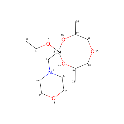 CCO[Si]1(CN2CCOCC2)OC(C)COCC(C)O1